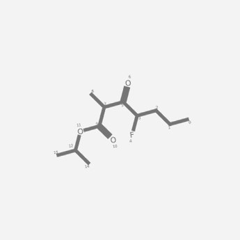 CCCC(F)C(=O)C(C)C(=O)OC(C)C